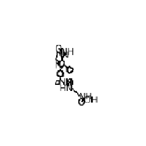 O=C(O)NCCCCNC(=O)CNC1(c2ccc(-c3nc4ccn5c(=O)[nH]nc5c4cc3-c3ccccc3)cc2)CCC1